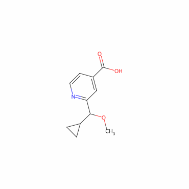 COC(c1cc(C(=O)O)ccn1)C1CC1